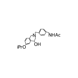 CC(=O)NCc1ccc(CN2Cc3ccc(OC(C)C)cc3C(O)C2)cc1